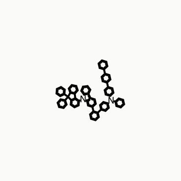 c1ccc(-c2ccc(-c3ccc(N(c4ccccc4)c4ccc(-c5ccccc5-c5ccc6c7ccccc7n(-c7cccc8c7-c7ccccc7C8(c7ccccc7)c7ccccc7)c6c5)cc4)cc3)cc2)cc1